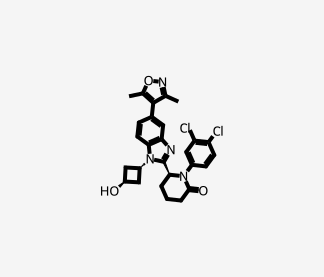 Cc1noc(C)c1-c1ccc2c(c1)nc([C@@H]1CCCC(=O)N1c1ccc(Cl)c(Cl)c1)n2[C@H]1C[C@H](O)C1